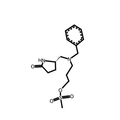 CS(=O)(=O)OCCCN(Cc1ccccc1)C[C@@H]1CCC(=O)N1